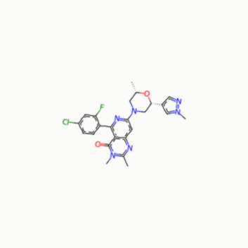 Cc1nc2cc(N3C[C@@H](c4cnn(C)c4)O[C@@H](C)C3)nc(-c3ccc(Cl)cc3F)c2c(=O)n1C